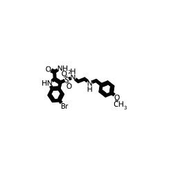 COc1ccc(CNCCNS(=O)(=O)c2c(C(N)=O)[nH]c3ccc(Br)cc23)cc1